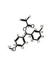 C=C(C)C(=O)OC(c1ccc(OC)cc1)c1cccc(C)c1